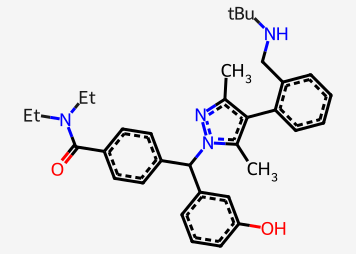 CCN(CC)C(=O)c1ccc(C(c2cccc(O)c2)n2nc(C)c(-c3ccccc3CNC(C)(C)C)c2C)cc1